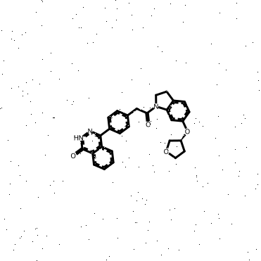 O=C(Cc1ccc(-c2n[nH]c(=O)c3ccccc23)cc1)N1CCc2ccc(O[C@H]3CCOC3)cc21